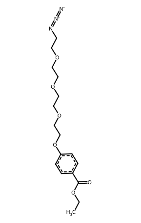 CCOC(=O)c1ccc(OCCOCCOCCOCCN=[N+]=[N-])cc1